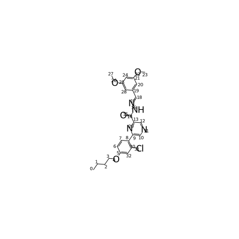 CCCCOc1ccc(-c2cncc(C(=O)N/N=C/c3cc(OC)cc(OC)c3)n2)c(Cl)c1